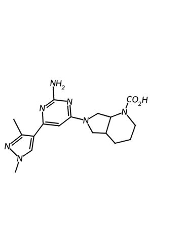 Cc1nn(C)cc1-c1cc(N2CC3CCCN(C(=O)O)C3C2)nc(N)n1